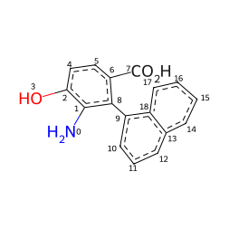 Nc1c(O)ccc(C(=O)O)c1-c1cccc2ccccc12